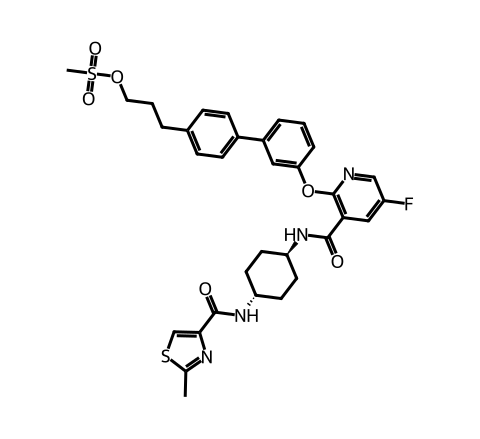 Cc1nc(C(=O)N[C@H]2CC[C@H](NC(=O)c3cc(F)cnc3Oc3cccc(-c4ccc(CCCOS(C)(=O)=O)cc4)c3)CC2)cs1